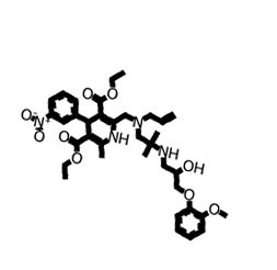 C=CCN(CC1=C(C(=O)OCC)C(c2cccc([N+](=O)[O-])c2)C(C(=O)OCC)=C(C)N1)CC(C)(C)NCC(O)COc1ccccc1OC